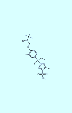 CCC(CC)(c1ccc(OCC(=O)C(C)(C)C)c(C)c1)c1cc(C)c(S(N)(=O)=O)s1